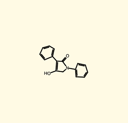 O=C1C(c2ccccc2)=C(O)CN1c1ccccc1